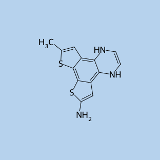 Cc1cc2c3c(c4cc(N)sc4c2s1)NC=CN3